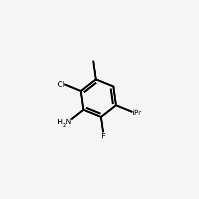 Cc1cc(C(C)C)c(F)c(N)c1Cl